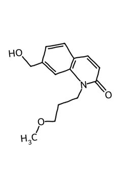 COCCCn1c(=O)ccc2ccc(CO)cc21